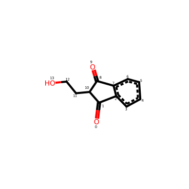 O=C1c2ccccc2C(=O)C1CCO